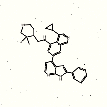 CC1(C)CNCCC1CNc1nc(-c2ccnc3[nH]c(-c4ccccc4)cc23)nc2cncc(C3CC3)c12